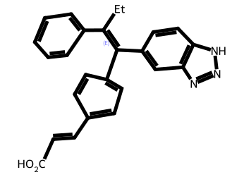 CC/C(=C(/c1ccc(C=CC(=O)O)cc1)c1ccc2[nH]nnc2c1)c1ccccc1